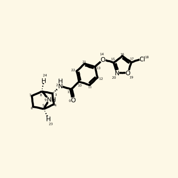 O=C(N[C@@H]1C[C@H]2CC[C@@H]1N2)c1ccc(Oc2cc(Cl)on2)cc1